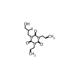 C=CCn1c(=O)n(CC=C)c(=O)n(CC(I)CO)c1=O